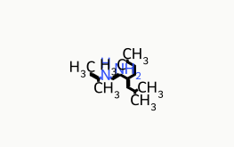 C/C=C(/C)N/C=C(N)/C(/C=C\C(C)C)=C/C(C)C